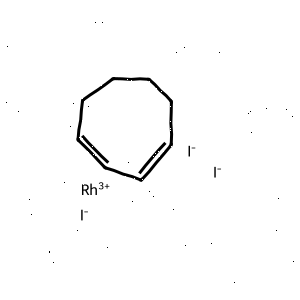 C1=CCCCCC=C1.[I-].[I-].[I-].[Rh+3]